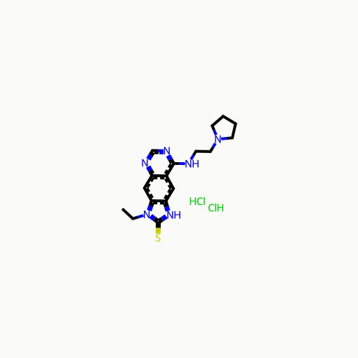 CCn1c(=S)[nH]c2cc3c(NCCN4CCCC4)ncnc3cc21.Cl.Cl